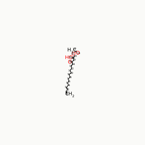 C=CC=CCCCCCCCCCCCC(=O)C[C@@H](O)COC(C)=O